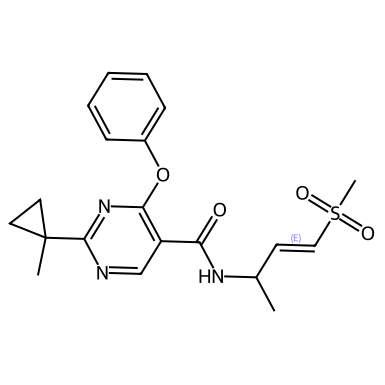 CC(/C=C/S(C)(=O)=O)NC(=O)c1cnc(C2(C)CC2)nc1Oc1ccccc1